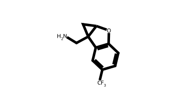 NCC12CC1Oc1ccc(C(F)(F)F)cc12